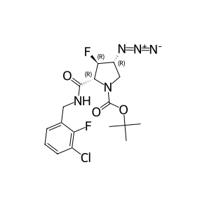 CC(C)(C)OC(=O)N1C[C@@H](N=[N+]=[N-])[C@H](F)[C@H]1C(=O)NCc1cccc(Cl)c1F